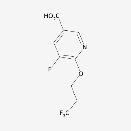 O=C(O)c1cnc(OCCC(F)(F)F)c(F)c1